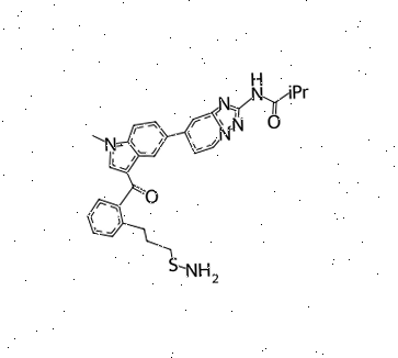 CC(C)C(=O)Nc1nc2cc(-c3ccc4c(c3)c(C(=O)c3ccccc3CCCSN)cn4C)ccn2n1